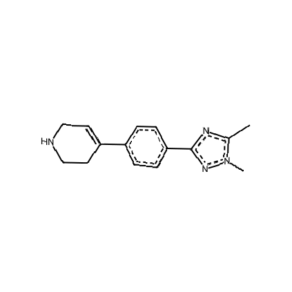 Cc1nc(-c2ccc(C3=CCNCC3)cc2)nn1C